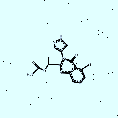 CC(OC(N)=O)c1nc2cccc(Cl)c2c(=O)n1-c1cn[nH]c1